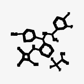 CSc1ccc(C(NC(C)c2ccc(F)c(F)c2)c2ccccc2Nc2c(O)c(=O)c2=O)cc1.O=C(O)C(F)(F)F